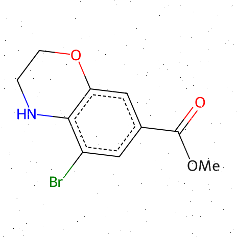 COC(=O)c1cc(Br)c2c(c1)OCCN2